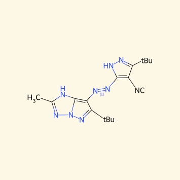 [C-]#[N+]c1c(C(C)(C)C)n[nH]c1/N=N/c1c(C(C)(C)C)nn2nc(C)[nH]c12